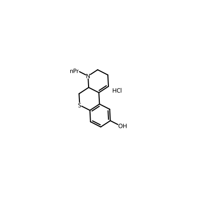 CCCN1CCC=C2c3cc(O)ccc3SCC21.Cl